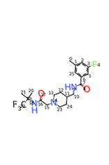 Cc1cc(F)cc(C(=O)NCC2CCN(CC(=O)NC(C)(C)C(F)(F)F)CC2)c1